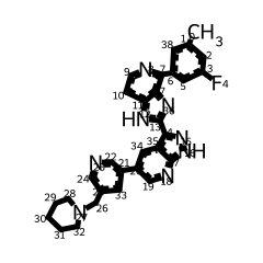 Cc1cc(F)cc(-c2nccc3[nH]c(-c4n[nH]c5ncc(-c6cncc(CN7CCCCC7)c6)cc45)nc23)c1